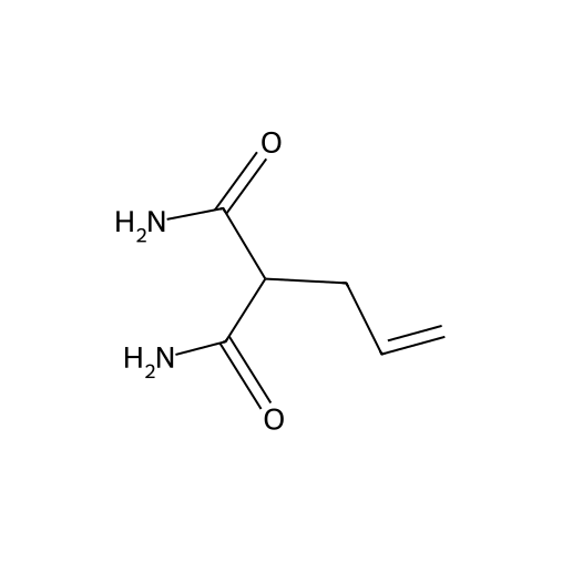 C=CCC(C(N)=O)C(N)=O